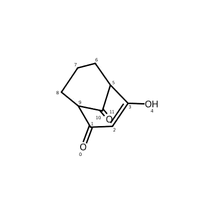 O=C1C=C(O)C2CCCC1C2=O